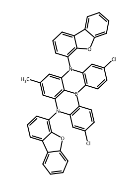 Cc1cc2c3c(c1)N(c1cccc4c1oc1ccccc14)c1cc(Cl)ccc1B3c1ccc(Cl)cc1N2c1cccc2c1oc1ccccc12